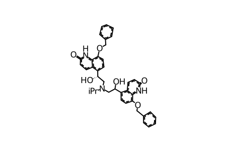 CC(C)N(CC(O)c1ccc(OCc2ccccc2)c2[nH]c(=O)ccc12)C[C@H](O)c1ccc(OCc2ccccc2)c2[nH]c(=O)ccc12